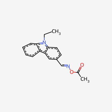 CCn1c2ccccc2c2cc(/C=N/OC(C)=O)ccc21